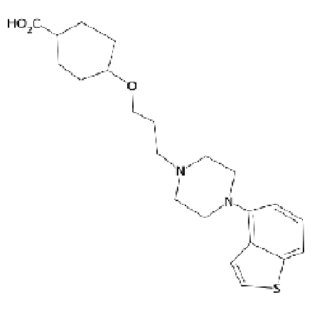 O=C(O)C1CCC(OCCCN2CCN(c3cccc4sccc34)CC2)CC1